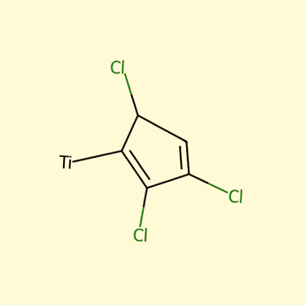 ClC1=CC(Cl)[C]([Ti])=C1Cl